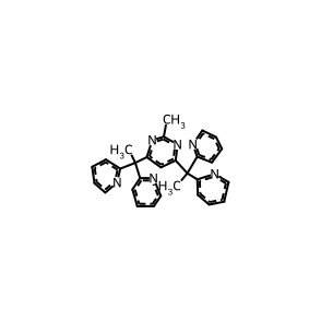 Cc1nc(C(C)(c2ccccn2)c2ccccn2)cc(C(C)(c2ccccn2)c2ccccn2)n1